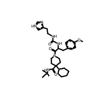 COc1ccc(CC(NC(=O)NCCc2c[nH]cn2)C(=O)N2CCC(C(=O)NC(C)(C)C)(C3CCCCC3)CC2)cc1